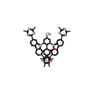 Cc1nc(C)nc(-c2ccc3c4ccc(-c5nc(C)nc(C)n5)cc4n(-c4cc(C#N)cc(-n5c6cc(-c7nc(C)nc(C)n7)ccc6c6ccc(-c7nc(C)nc(C)n7)cc65)c4-c4ccc(C#N)cc4C)c3c2)n1